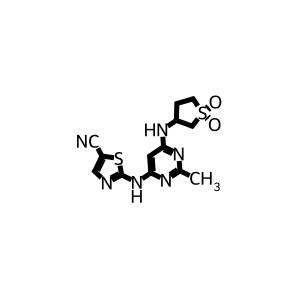 Cc1nc(Nc2ncc(C#N)s2)cc(NC2CCS(=O)(=O)C2)n1